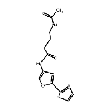 CC(=O)NCCCC(=O)Nc1coc(-c2nccs2)c1